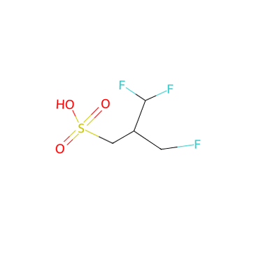 O=S(=O)(O)CC(CF)C(F)F